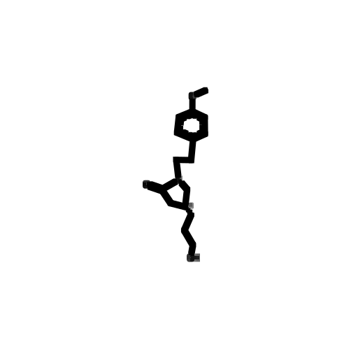 COc1ccc(CCN2C[C@H](CCCO)CC2=O)cc1